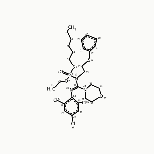 CCCCCCSP(=O)(OCC)N(CCSc1ccccc1)C(=Nc1c(Cl)cc(Cl)cc1Cl)N1CCOCC1